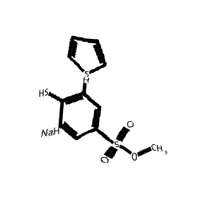 COS(=O)(=O)c1ccc(S)c([SH]2C=CC=C2)c1.[NaH]